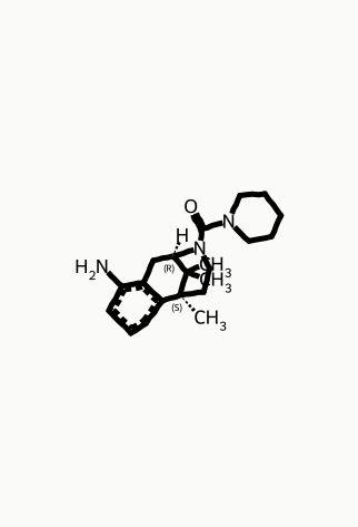 CC1(C)[C@H]2Cc3c(N)cccc3[C@]1(C)CCN2C(=O)N1CCCCC1